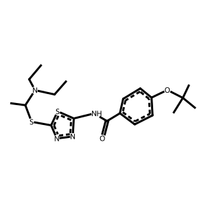 CCN(CC)C(C)Sc1nnc(NC(=O)c2ccc(OC(C)(C)C)cc2)s1